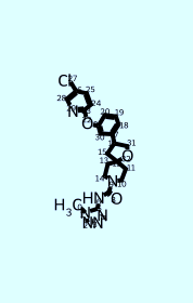 Cn1nnnc1NC(=O)N1CCC2(CC1)CC(c1cccc(Oc3ccc(Cl)cn3)c1)CO2